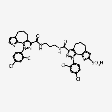 O=C(NCCCNC(=O)c1nn(-c2ccc(Cl)cc2Cl)c2c1CCCc1cc(S(=O)(=O)O)sc1-2)c1nn(-c2ccc(Cl)cc2Cl)c2c1CCCc1ccsc1-2